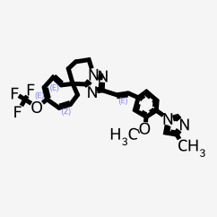 COc1cc(/C=C/c2nc3n(n2)CCCC32/C=C/C=C(OC(F)(F)F)\C=C/C2)ccc1-n1cnc(C)c1